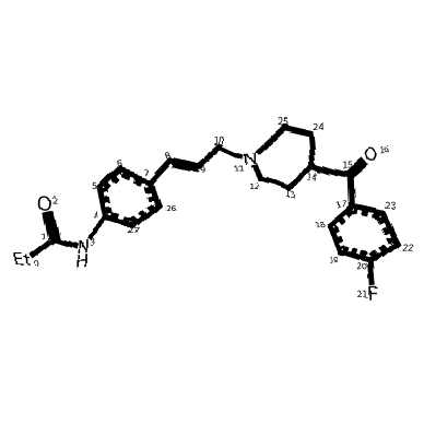 CCC(=O)Nc1ccc(/C=C/CN2CCC(C(=O)c3ccc(F)cc3)CC2)cc1